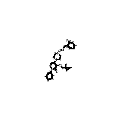 CC1(COc2c(N3CCN(OSCc4ccccc4F)CC3)cnn(-c3ccccc3)c2=O)CC1